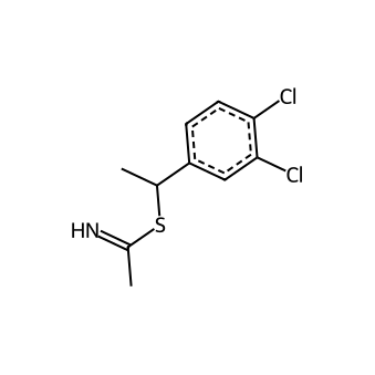 CC(=N)SC(C)c1ccc(Cl)c(Cl)c1